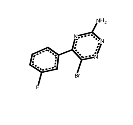 Nc1nnc(Br)c(-c2cccc(F)c2)n1